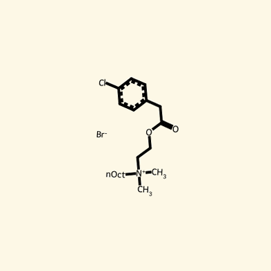 CCCCCCCC[N+](C)(C)CCOC(=O)Cc1ccc(Cl)cc1.[Br-]